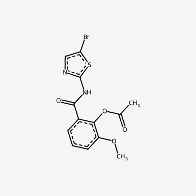 COc1cccc(C(=O)Nc2ncc(Br)s2)c1OC(C)=O